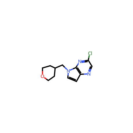 Clc1cnc2ccn(CC3CCOCC3)c2n1